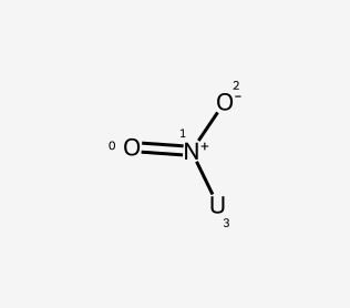 O=[N+]([O-])[U]